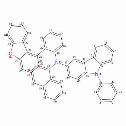 c1ccc(-n2c3ccccc3c3cc(N(c4ccccc4-c4cccc5oc6ccccc6c45)c4cccc5ccccc45)ccc32)cc1